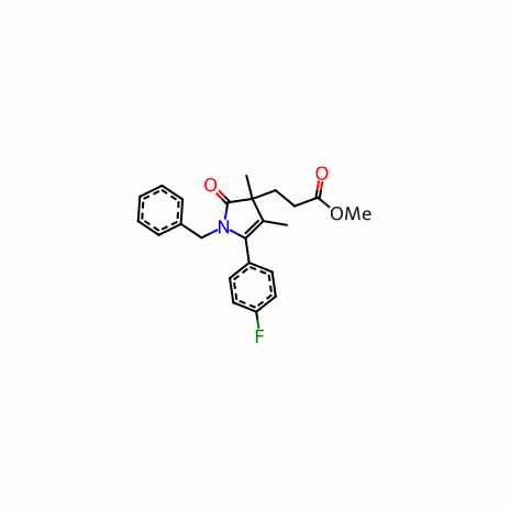 COC(=O)CCC1(C)C(=O)N(Cc2ccccc2)C(c2ccc(F)cc2)=C1C